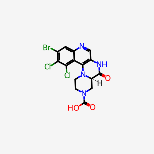 O=C1Nc2cnc3cc(Br)c(Cl)c(Cl)c3c2N2CCN(C(=O)O)C[C@H]12